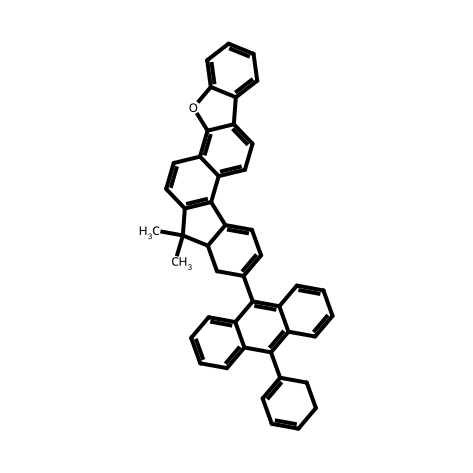 CC1(C)c2ccc3c(ccc4c5ccccc5oc34)c2C2=CC=C(c3c4ccccc4c(C4=CC=CCC4)c4ccccc34)CC21